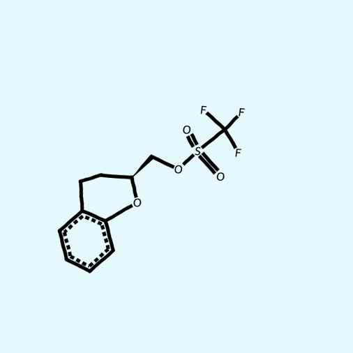 O=S(=O)(OC[C@@H]1CCc2ccccc2O1)C(F)(F)F